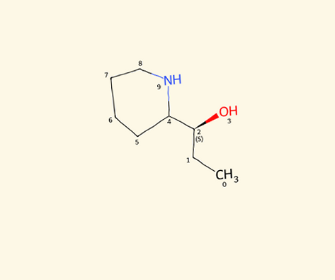 CC[C@H](O)C1CCCCN1